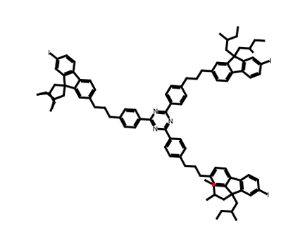 CCC(C)CC1(CC(C)CC)c2cc(I)ccc2-c2ccc(CCCc3ccc(-c4nc(-c5ccc(CCCc6ccc7c(c6)C(CC(C)CC)(CC(C)CC)c6cc(I)ccc6-7)cc5)nc(-c5ccc(CCCc6ccc7c(c6)C(CC(C)CC)(CC(C)CC)c6cc(I)ccc6-7)cc5)n4)cc3)cc21